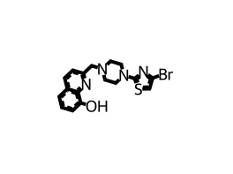 Oc1cccc2ccc(CN3CCN(c4nc(Br)cs4)CC3)nc12